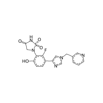 O=C1CN(c2c(O)ccc(-c3cn(Cc4cccnc4)cn3)c2F)S(=O)(=O)N1